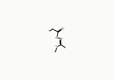 CCC(=O)ON=C(C)SC